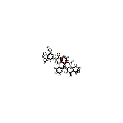 COc1cc(C(=O)C(=O)N(C)[C@@H](Cc2ccccc2)C(=O)N(C)C(CC(C)c2cccnc2)CC(C)c2cccnc2)cc(OC)c1OC